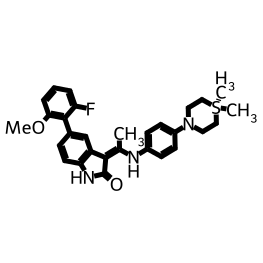 COc1cccc(F)c1-c1ccc2c(c1)/C(=C(\C)Nc1ccc(N3CCS(C)(C)CC3)cc1)C(=O)N2